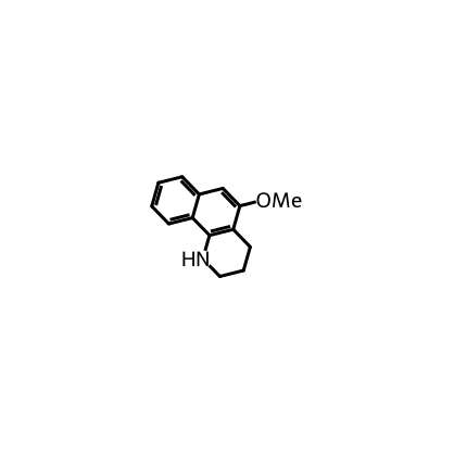 COc1cc2ccccc2c2c1CCCN2